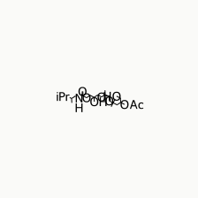 CC(=O)OC(CO)CC(C)(C)OCC(C)OCC(O)COC(=O)NCC(C)C(C)C